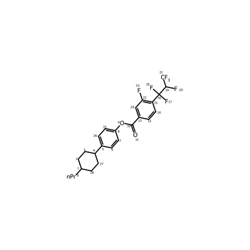 CCCC1CCC(c2ccc(OC(=O)c3ccc(C(F)(F)C(F)C(F)(F)F)c(F)c3)cc2)CC1